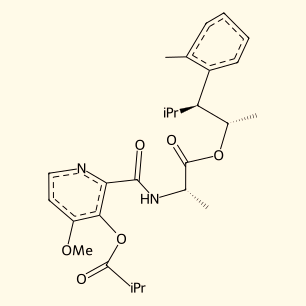 COc1ccnc(C(=O)N[C@@H](C)C(=O)O[C@@H](C)[C@H](c2ccccc2C)C(C)C)c1OC(=O)C(C)C